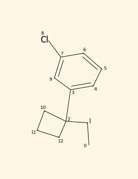 C[CH]C1(c2cccc(Cl)c2)CCC1